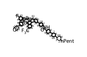 CCCCCC1CCC(c2ccc(-c3ccc(C(=O)Nc4ccc(-c5ccc6c(c5)-c5c(c7c(c8cc(C(F)(F)F)ccc58)OC(c5ccc(F)cc5)(c5ccc(N8CCOCC8)cc5)C=C7)C6(C)CCCC)cc4)cc3)cc2)CC1